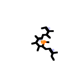 C/C=C(/C)C(C)C/C=C(\C)C(C)C(C)C(C/C=C(/C)CC)PC